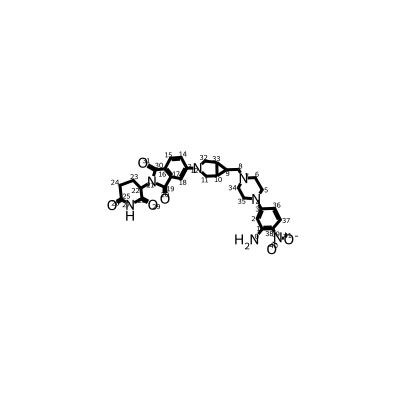 Nc1cc(N2CCN(CC3C4CN(c5ccc6c(c5)C(=O)N(C5CCC(=O)NC5=O)C6=O)CC34)CC2)ccc1[N+](=O)[O-]